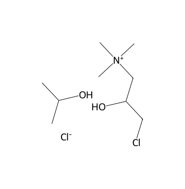 CC(C)O.C[N+](C)(C)CC(O)CCl.[Cl-]